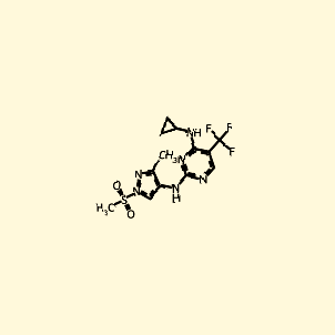 Cc1nn(S(C)(=O)=O)cc1Nc1ncc(C(F)(F)F)c(NC2CC2)n1